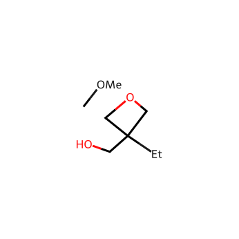 CCC1(CO)COC1.COC